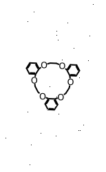 c1ccc2c(c1)OCCOc1ccccc1OCCOc1ccccc1OCCO2